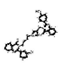 O=c1c2ccccc2nc(-c2cccc(O)c2)n1CCCCn1cc(Cn2c(-c3ccc(O)cc3)nc3ccccc3c2=O)nn1